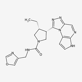 CC[C@H]1CN(C(=O)NCc2cocn2)C[C@H]1c1nnc2cnc3[nH]ccc3n12